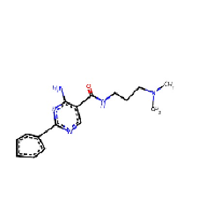 CN(C)CCCNC(=O)c1cnc(-c2ccccc2)nc1N